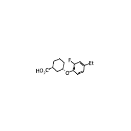 CCc1ccc(O[C@H]2CCC[C@H](C(=O)O)C2)c(F)c1